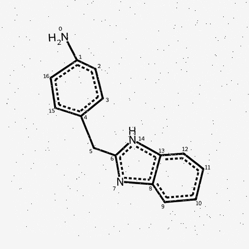 Nc1ccc(Cc2nc3ccccc3[nH]2)cc1